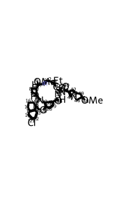 CC[C@H]1C/C=C/[C@H](OC)[C@@H]2CC[C@H]2CN2C[C@@]3(CCCc4cc(Cl)ccc43)COc3ccc(cc32)C(=O)N=[S@](=O)(NC(=O)c2cc3n(c2)CC(OC)C3)C1